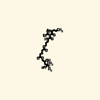 C=CCN(C(C)=O)C(=O)N(C(=O)NCCCOC(=O)CSCC(=O)OCC(O)CC(C)(C)CCC)C(CC)CC